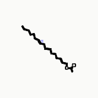 CCCCCC/C=C/CCCCCCCCCOC(C)=O